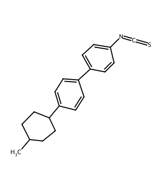 CC1CCC(c2ccc(-c3ccc(N=C=S)cc3)cc2)CC1